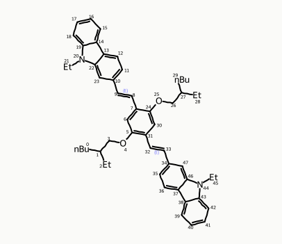 CCCCC(CC)COc1cc(/C=C/c2ccc3c4ccccc4n(CC)c3c2)c(OCC(CC)CCCC)cc1/C=C/c1ccc2c3ccccc3n(CC)c2c1